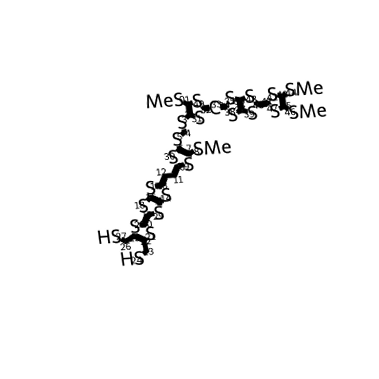 CSC1=C(SCSC2=C(SC)SC(=CC=C3SC4=C(S3)SC(=C3SC(CS)=C(CS)S3)S4)S2)SC(=C=C2SC3=C(S2)SC(=C2SC(SC)=C(SC)S2)S3)S1